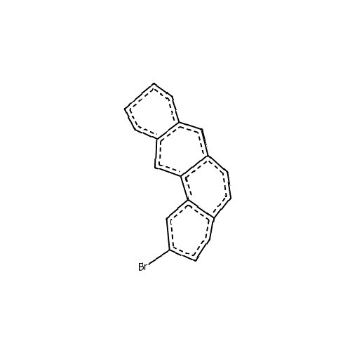 Brc1ccc2ccc3cc4ccccc4cc3c2c1